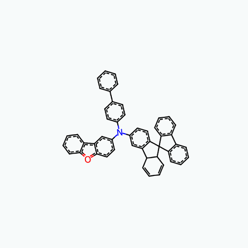 C1=CC2c3cc(N(c4ccc(-c5ccccc5)cc4)c4ccc5oc6ccccc6c5c4)ccc3C3(c4ccccc4-c4ccccc43)C2C=C1